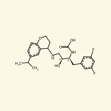 CC(C)c1ccc2c(c1)C(NC[C@H](O)[C@H](Cc1cc(F)cc(F)c1)NC(=O)O)CCO2